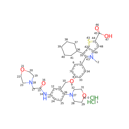 Cl.Cl.Cn1c(-c2ccc(OCc3cc(NC(=O)CN4CCOCC4)ccc3N3CCOCC3)cc2)c(C2CCCCC2)c2sc(C(=O)O)cc21